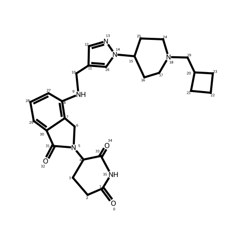 O=C1CCC(N2Cc3c(NCc4cnn(C5CCN(CC6CCC6)CC5)c4)cccc3C2=O)C(=O)N1